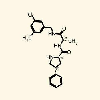 Cc1cc(Cl)cc(CNC(=O)[C@H](C)NC(=O)[C@H]2C[C@H](c3ccccc3)CN2)c1